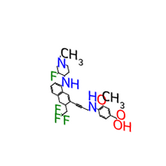 CCN1CC[C@@H](Nc2cccc3c2C=C(C#CCNc2ccc(C(=O)O)cc2OC)C(CC(F)(F)F)C3)C(F)C1